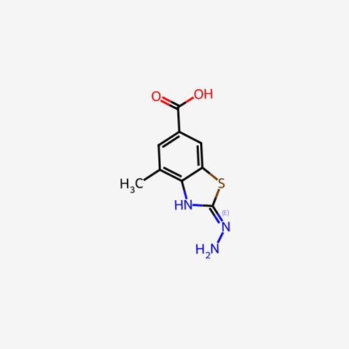 Cc1cc(C(=O)O)cc2s/c(=N/N)[nH]c12